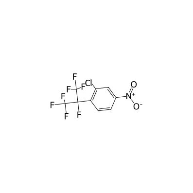 O=[N+]([O-])c1ccc(C(F)(C(F)(F)F)C(F)(F)F)c(Cl)c1